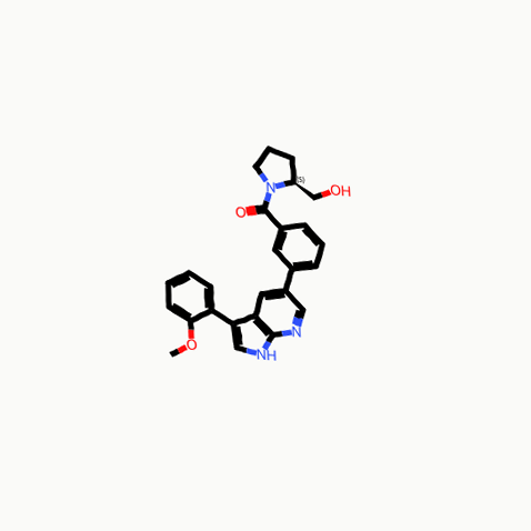 COc1ccccc1-c1c[nH]c2ncc(-c3cccc(C(=O)N4CCC[C@H]4CO)c3)cc12